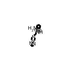 Nc1ccccc1S(=O)(=O)NCCCN1CCN(c2ncccn2)CC1